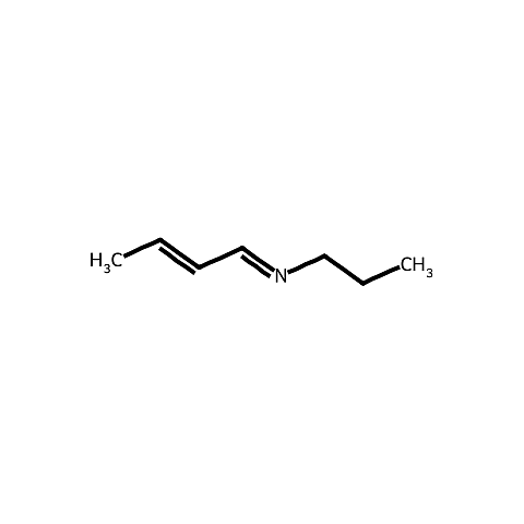 CC=CC=NCCC